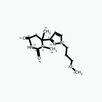 COCCCn1ccc(C2(C)CC(=O)NC(=O)N2C)n1